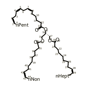 CCCCC/C=C\C/C=C\C/C=C\CCCCC(=O)O[C@H](COC(=O)CCCCCCC/C=C\CCCCCCC)COC(=O)CCCCCCC/C=C\CCCCCCCCC